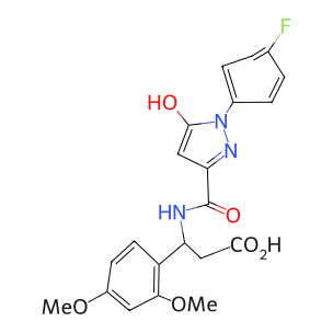 COc1ccc(C(CC(=O)O)NC(=O)c2cc(O)n(-c3ccc(F)cc3)n2)c(OC)c1